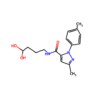 Cc1ccc(-n2nc(C)cc2C(=O)NCCCC(O)O)cc1